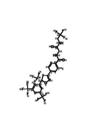 Cc1cc(C2=NO[C@](c3cc(C(F)(F)F)cc(C(F)(F)F)n3)(C(F)(F)F)C2)ccc1C(=O)NCC(=O)NCC(F)(F)F